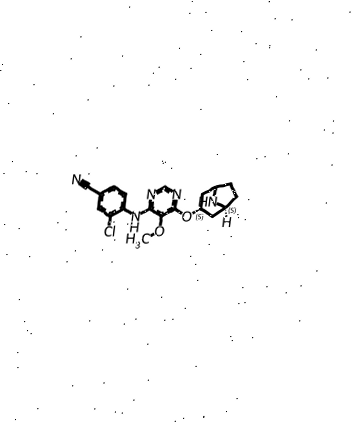 COc1c(Nc2ccc(C#N)cc2Cl)ncnc1O[C@H]1CC2CC[C@@H](C1)N2